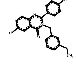 COc1ccc(-c2nc3ccc(Cl)cc3c(=O)n2Cc2cccc(CN)c2)cc1